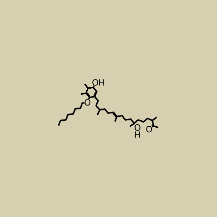 CCCCCCCCOC1=C(C)C(C)C(O)C=C1CCC(C)CC/C=C(\C)CCCC(C)(O)CCCC(C)C(C)=O